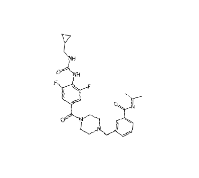 CC(C)=NC(=O)c1cccc(CN2CCN(C(=O)c3cc(F)c(NC(=O)NCC4CC4)c(F)c3)CC2)c1